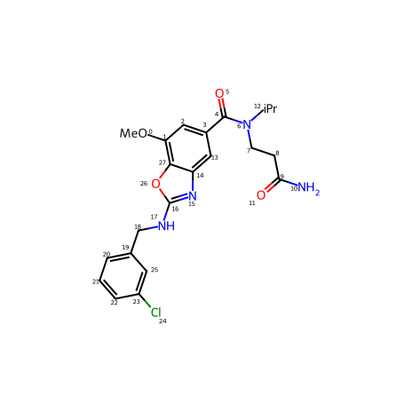 COc1cc(C(=O)N(CCC(N)=O)C(C)C)cc2nc(NCc3cccc(Cl)c3)oc12